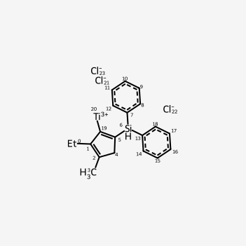 CCC1=C(C)CC([SiH](c2ccccc2)c2ccccc2)=[C]1[Ti+3].[Cl-].[Cl-].[Cl-]